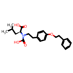 CC(C)C[C@@H](C(=O)O)N(CCc1ccc(OCCc2ccccc2)cc1)C(=O)O